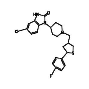 O=c1[nH]c2cc(Cl)ccc2n1C1CCN(CC2CSC(c3ccc(F)cc3)C2)CC1